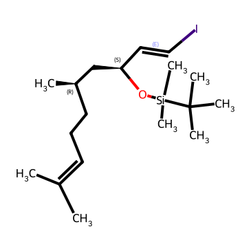 CC(C)=CCC[C@@H](C)C[C@@H](/C=C/I)O[Si](C)(C)C(C)(C)C